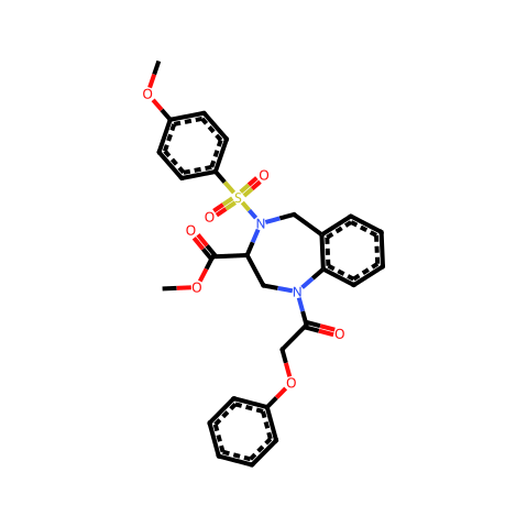 COC(=O)C1CN(C(=O)COc2ccccc2)c2ccccc2CN1S(=O)(=O)c1ccc(OC)cc1